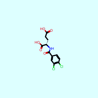 O=C(O)CC[C@H](NC(=O)c1ccc(Cl)c(Cl)c1)C(=O)O